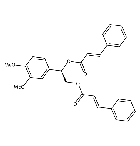 COc1ccc([C@H](COC(=O)/C=C/c2ccccc2)OC(=O)/C=C/c2ccccc2)cc1OC